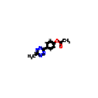 CC(=O)Oc1ccc(-c2nnc(C)nn2)cc1